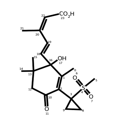 CC1=C(C2(S(C)(=O)=O)CC2)C(=O)CC(C)(C)C1(O)/C=C/C(C)=C\C(=O)O